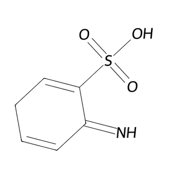 N=C1C=CCC=C1S(=O)(=O)O